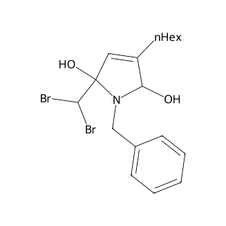 CCCCCCC1=CC(O)(C(Br)Br)N(Cc2ccccc2)C1O